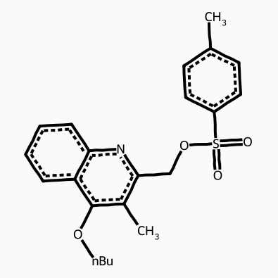 CCCCOc1c(C)c(COS(=O)(=O)c2ccc(C)cc2)nc2ccccc12